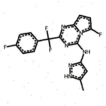 Cc1cc(Nc2nc(C(F)(F)c3ccc(F)cc3)nc3ccc(F)n23)n[nH]1